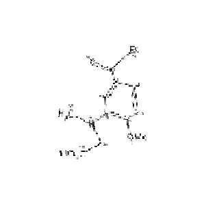 CCC(=O)c1ccc(OC)c(N(C)CC(=O)O)c1